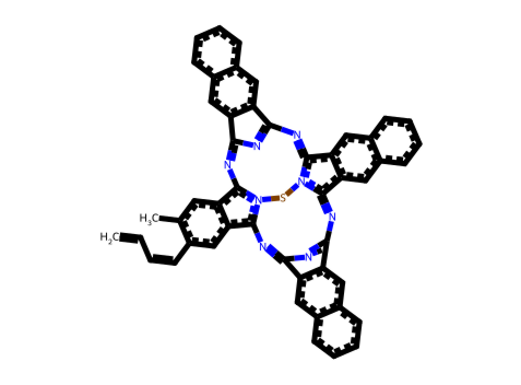 C=C/C=C\c1cc2c3n4c(c2cc1C)/N=C1N=C(/N=c2/c5cc6ccccc6cc5/c(n2S4)=N/C2=NC(=N\3)/c3cc4ccccc4cc32)c2cc3ccccc3cc2\1